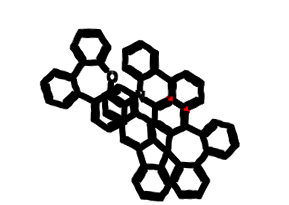 c1ccc(-c2ccccc2N(c2ccc3c(c2)C2(c4ccccc4-c4ccccc4-3)c3ccccc3-c3cc4ccccc4cc32)c2cccc3c2Oc2ccccc2-c2ccccc2-3)cc1